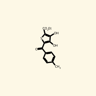 CCOC(=O)c1sc(C(=O)c2ccc(C)cc2)c(O)c1O